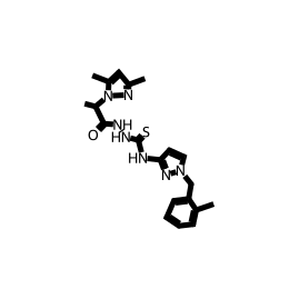 Cc1cc(C)n(C(C)C(=O)NNC(=S)Nc2ccn(Cc3ccccc3C)n2)n1